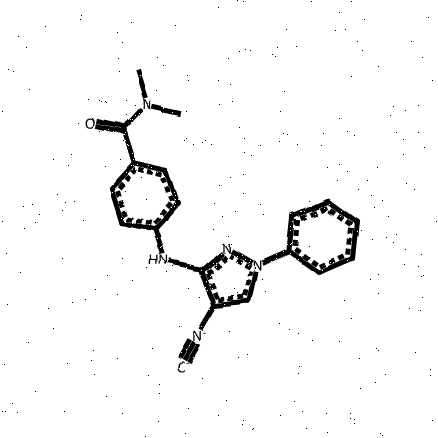 [C-]#[N+]c1cn(-c2ccccc2)nc1Nc1ccc(C(=O)N(C)C)cc1